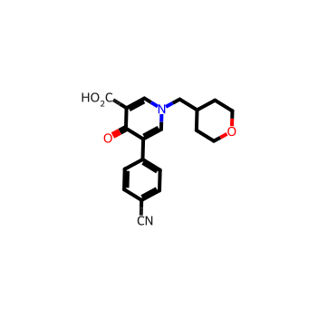 N#Cc1ccc(-c2cn(CC3CCOCC3)cc(C(=O)O)c2=O)cc1